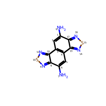 Nc1cc2c(cc(N)c3nsnc32)c2nsnc12